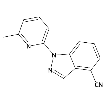 Cc1cccc(-n2ncc3c(C#N)cccc32)n1